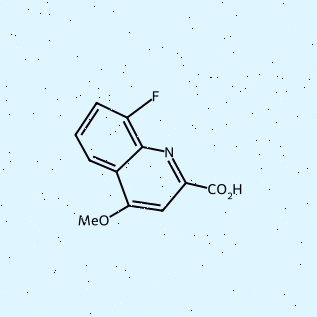 COc1cc(C(=O)O)nc2c(F)cccc12